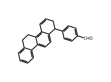 O=Cc1ccc(C2CC=Cc3c2ccc2c3CCc3ccccc3-2)cc1